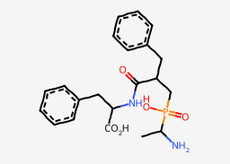 CC(N)P(=O)(O)CC(Cc1ccccc1)C(=O)NC(Cc1ccccc1)C(=O)O